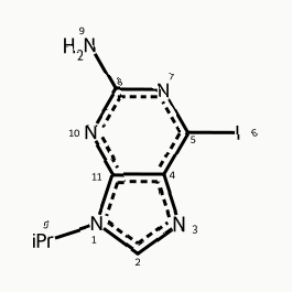 CC(C)n1cnc2c(I)nc(N)nc21